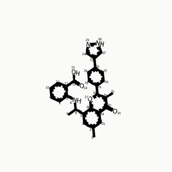 Cc1cc(C(C)Nc2ccccc2C(=O)O)c2oc(-c3ccc(-c4cn[nH]c4)cc3)c(C)c(=O)c2c1